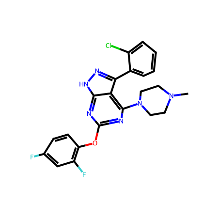 CN1CCN(c2nc(Oc3ccc(F)cc3F)nc3[nH]nc(-c4ccccc4Cl)c23)CC1